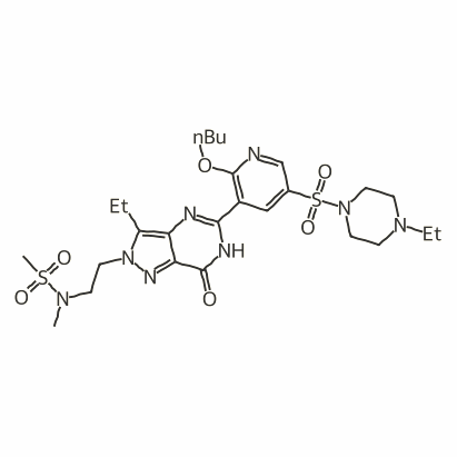 CCCCOc1ncc(S(=O)(=O)N2CCN(CC)CC2)cc1-c1nc2c(CC)n(CCN(C)S(C)(=O)=O)nc2c(=O)[nH]1